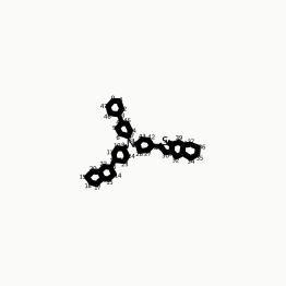 c1ccc(-c2ccc(N(c3ccc(-c4ccc5ccccc5c4)cc3)c3ccc(-c4cc5cc6ccccc6cc5s4)cc3)cc2)cc1